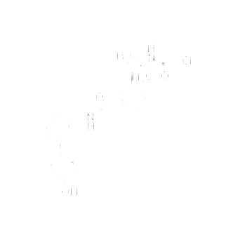 CC(C)(Cc1cccc(CC(=O)NCc2cccc(-c3ccc(O)cc3)c2)c1)NC(=O)CCl